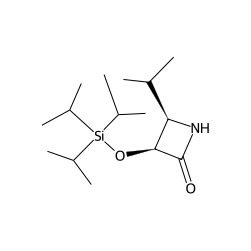 CC(C)[C@H]1NC(=O)[C@H]1O[Si](C(C)C)(C(C)C)C(C)C